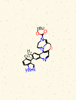 Cc1cc2c3c(cnc2cc1-c1c(C)ccc2[nH]ncc12)OCC1=CN(C(=O)OC(C)(C)C)CCN13